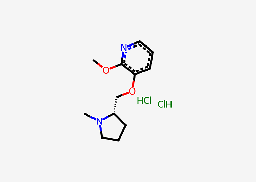 COc1ncccc1OC[C@@H]1CCCN1C.Cl.Cl